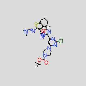 CN(C)/C=N/c1sc2c(c1C#N)[C@@](C)(c1nc(-c3cc(N4CCN(C(=O)OC(C)(C)C)CC4)nc(Cl)n3)no1)CCC2